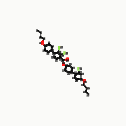 CCCCOc1ccc(-c2ccc(C(=O)Oc3ccc(-c4ccc(OCCCC)cc4F)cc3)c(F)c2F)cc1